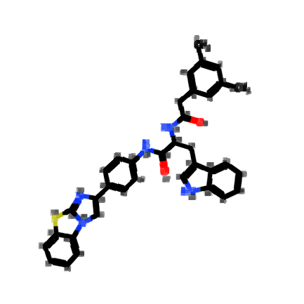 Cc1cc(C)cc(CC(=O)NC(Cc2c[nH]c3ccccc23)C(=O)Nc2ccc(-c3cn4c(n3)sc3ccccc34)cc2)c1